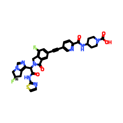 O=C(NC1CCN(C(=O)O)CC1)c1ccc(C#Cc2cc(F)c3c(c2)C(=O)N(C(C(=O)Nc2nccs2)c2ncn4c2C[C@@H](F)C4)C3)cn1